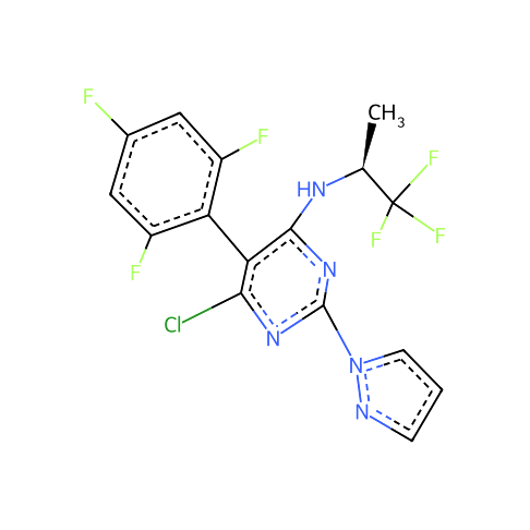 C[C@H](Nc1nc(-n2cccn2)nc(Cl)c1-c1c(F)cc(F)cc1F)C(F)(F)F